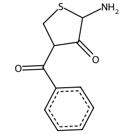 NC1SCC(C(=O)c2ccccc2)C1=O